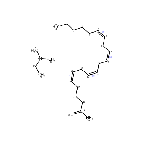 CCCCC/C=C\C/C=C\C/C=C\C/C=C\CCCC(N)=O.CCN(C)C